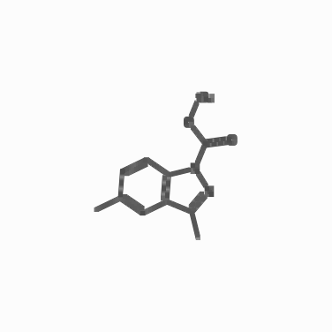 Cc1ccc2c(c1)c(C)nn2C(=O)OC(C)(C)C